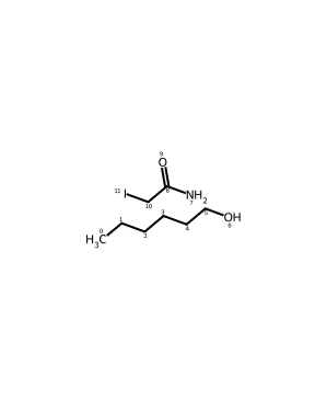 CCCCCCO.NC(=O)CI